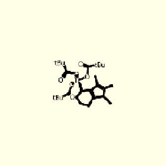 CC1=C(C)C(C)C2=C1[CH]([Ti]([O]C(=O)C(C)(C)C)([O]C(=O)C(C)(C)C)[O]C(=O)C(C)(C)C)CCC2